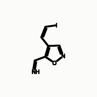 N=Cc1oncc1/C=C\I